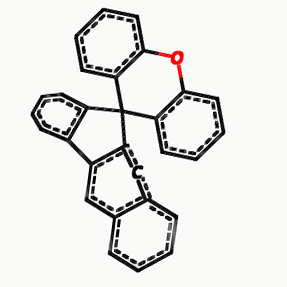 c1ccc2c(c1)Oc1ccccc1C21c2ccccc2-c2cc3ccccc3cc21